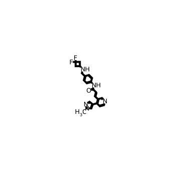 Cn1cc(-c2ccncc2C=CC(=O)Nc2ccc(CNC3CC(F)(F)C3)cc2)cn1